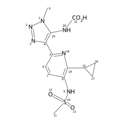 Cn1nnc(-c2ccc(NS(C)(=O)=O)c(C3CC3)n2)c1NC(=O)O